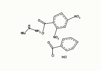 CC(C)(C)NN.Cl.O=C(Cl)c1ccc([N+](=O)[O-])cc1[N+](=O)[O-].O=C(Cl)c1ccccc1